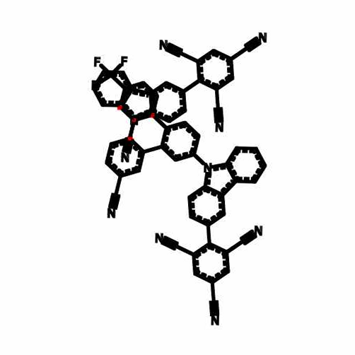 N#Cc1cc(C#N)c(-c2ccc3c(c2)c2ccccc2n3-c2ccc(-c3ccc(C(F)(F)F)cc3C#N)c(-c3cc(C#N)ccc3-n3c4ccccc4c4cc(-c5c(C#N)cc(C#N)cc5C#N)ccc43)c2)c(C#N)c1